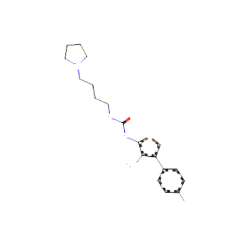 N#Cc1c(-c2ccc(C(F)(F)F)cc2)csc1NC(=O)NCCCCN1CCCC1